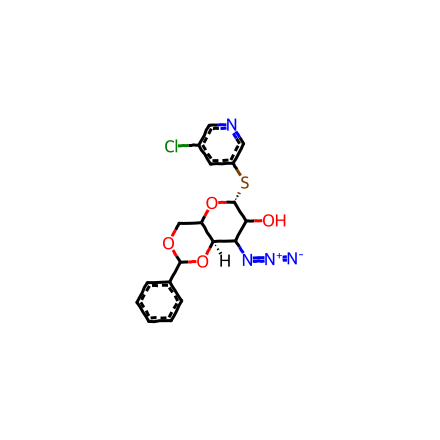 [N-]=[N+]=NC1C(O)[C@@H](Sc2cncc(Cl)c2)OC2COC(c3ccccc3)O[C@@H]21